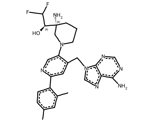 Cc1ccc(-c2cc(Cn3cnc4c(N)ncnc43)c(N3CCC[C@](N)([C@@H](O)C(F)F)C3)cn2)c(C)c1